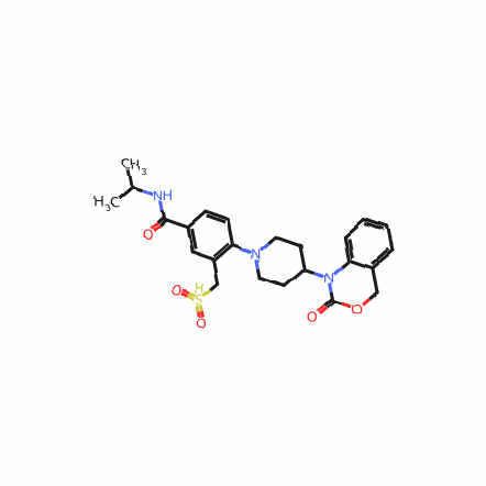 CC(C)NC(=O)c1ccc(N2CCC(N3C(=O)OCc4ccccc43)CC2)c(C[SH](=O)=O)c1